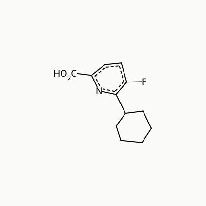 O=C(O)c1ccc(F)c(C2CCCCC2)n1